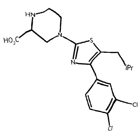 CC(C)Cc1sc(N2CCNC(C(=O)O)C2)nc1-c1ccc(Cl)c(Cl)c1